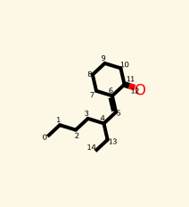 CCCCC(/C=C1\CCCCC1=O)CC